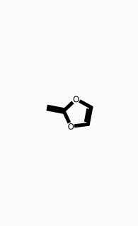 C=C1OC=CO1